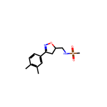 Cc1ccc(C2=NOC(CNS(C)(=O)=O)C2)cc1C